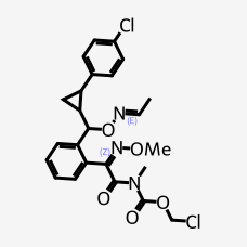 C/C=N/OC(c1ccccc1/C(=N/OC)C(=O)N(C)C(=O)OCCl)C1CC1c1ccc(Cl)cc1